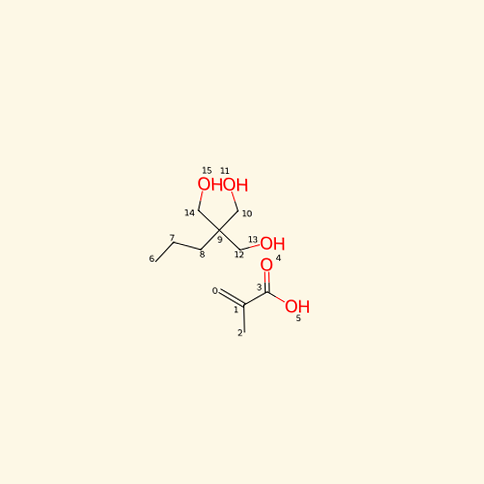 C=C(C)C(=O)O.CCCC(CO)(CO)CO